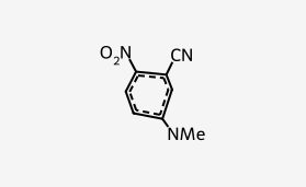 CNc1ccc([N+](=O)[O-])c(C#N)c1